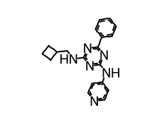 c1ccc(-c2nc(NCC3CCC3)nc(Nc3ccncc3)n2)cc1